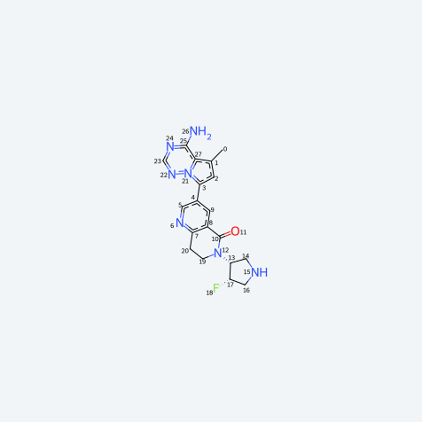 Cc1cc(-c2cnc3c(c2)C(=O)N([C@@H]2CNC[C@@H]2F)CC3)n2ncnc(N)c12